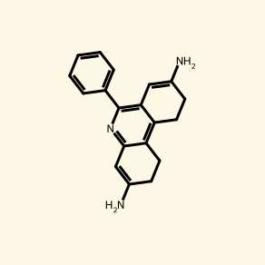 NC1=Cc2nc(-c3ccccc3)c3c(c2CC1)CCC(N)=C3